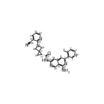 Cc1ccncc1-c1cc2cc(NC(=O)[C@@H]3CC34CN(c3ncccc3C#N)C4)ncc2c(N)n1